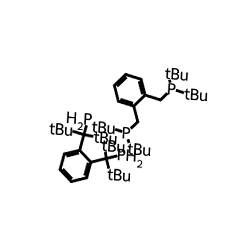 CC(C)(C)C(P)(c1ccccc1C(P)(C(C)(C)C)C(C)(C)C)C(C)(C)C.CC(C)(C)P(Cc1ccccc1CP(C(C)(C)C)C(C)(C)C)C(C)(C)C